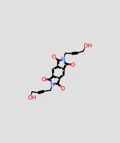 O=c1c2cc3c(=O)n(CC#CCO)c(=O)c3cc2c(=O)n1CC#CCO